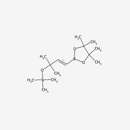 CC(C)(/C=C/B1OC(C)(C)C(C)(C)O1)O[Si](C)(C)C